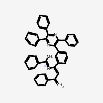 C=C(/C=C(\N=C(/C)c1ccccc1)c1cccc(-c2nc(-c3ccccc3)c(-c3ccccc3)nc2-c2ccccc2)c1)c1ccccc1